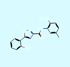 COc1ccc(C)cc1NC(=O)c1cc(-c2ccccc2O)on1